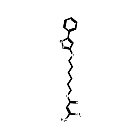 CC(N)=CC(=O)OCCCCCCOc1cc(-c2ccccc2)[nH]n1